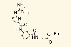 CC(C)(C)OC(=O)CCNC(=O)c1cccc(NC(=O)c2csc(N=C(N)N)n2)c1